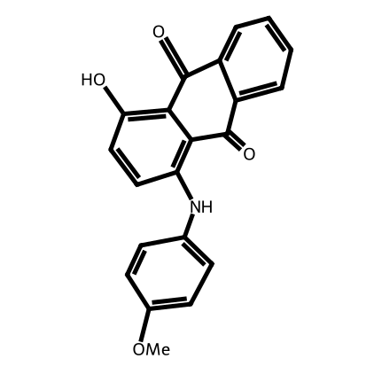 COc1ccc(Nc2ccc(O)c3c2C(=O)c2ccccc2C3=O)cc1